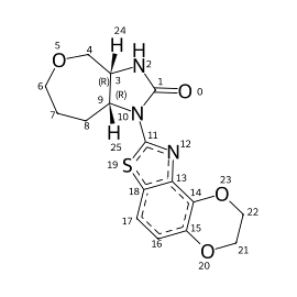 O=C1N[C@H]2COCCC[C@H]2N1c1nc2c3c(ccc2s1)OCCO3